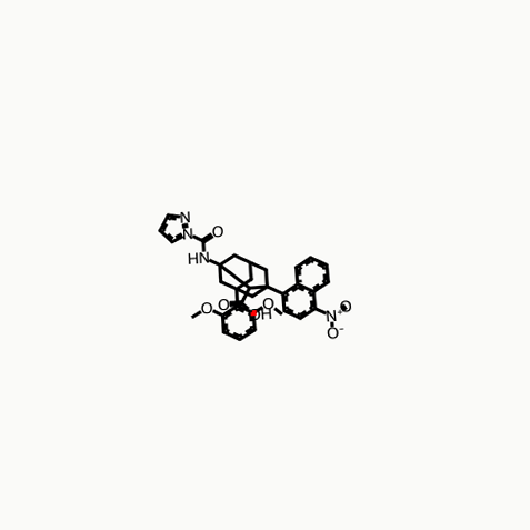 COc1cccc(OC)c1C12CC3CC(NC(=O)n4cccn4)(C1)C(C(=O)O)C(c1ccc([N+](=O)[O-])c4ccccc14)(C3)C2